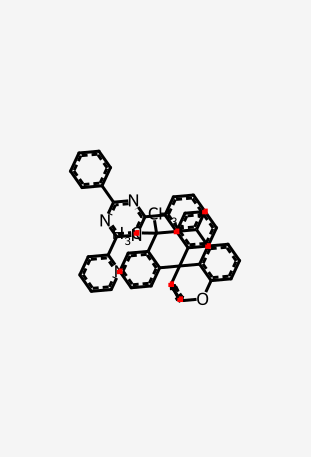 CC1(C)c2ccccc2C2(c3ccccc3Oc3cccc(-c4cccc(-c5nc(-c6ccccc6)nc(-c6ccccn6)n5)c4)c32)c2ccccc21